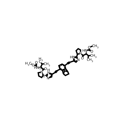 COC(=O)N[C@H](C(=O)N1CCCC1c1ncc(C#Cc2ccc(C#Cc3cnc([C@H]4CCCN4C(=O)[C@@H](NC(=O)OC)C(C)C)[nH]3)c3c2C2CCC3C2)[nH]1)C(C)C